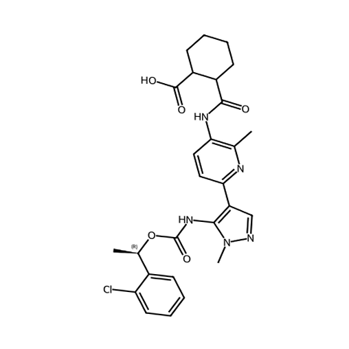 Cc1nc(-c2cnn(C)c2NC(=O)O[C@H](C)c2ccccc2Cl)ccc1NC(=O)C1CCCCC1C(=O)O